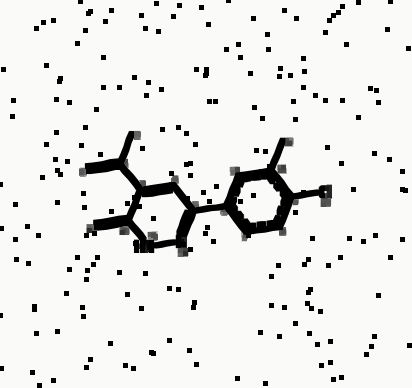 C=C(C)C1=CC(c2ccc(Cl)c(C)c2)=NNC1=C